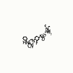 CC(=S)NC[C@H]1CN(c2ccc(N3CCC(C#N)(Nc4ccccc4)CC3)c(F)c2)C(=O)O1